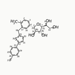 Cc1ccc([C@@H]2O[C@@H](C(O)CO)[C@H](O)[C@H]2O)cc1Cc1ccc(-c2ccc(F)cc2)s1